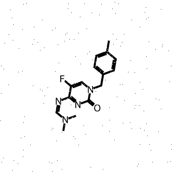 Cc1ccc(Cn2cc(F)c(/N=C\N(C)C)nc2=O)cc1